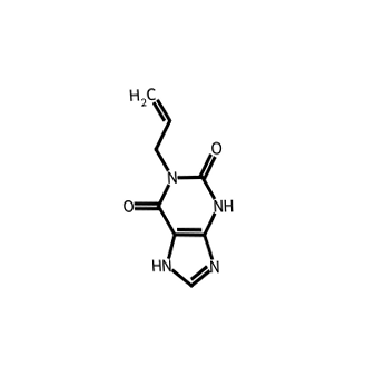 C=CCn1c(=O)[nH]c2nc[nH]c2c1=O